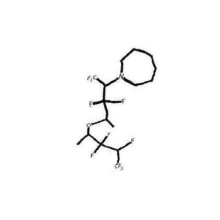 CC(OC(C)C(F)(F)C(N1CCCCCC1)C(F)(F)F)C(F)(F)C(F)C(F)(F)F